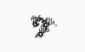 Cc1c(CN(C)CC(O)c2ncccn2)sc2c(=O)c(C(=O)NCc3ccc(F)cc3)cn(C)c12